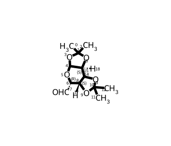 CC1(C)OC2O[C@@H](C=O)[C@H]3OC(C)(C)OC3[C@@H]2O1